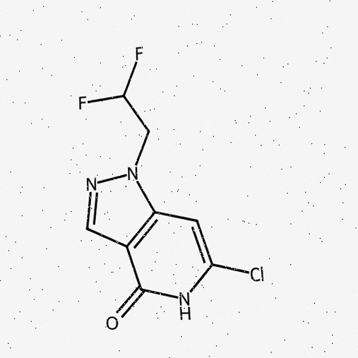 O=c1[nH]c(Cl)cc2c1cnn2CC(F)F